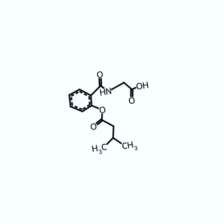 CC(C)CC(=O)Oc1ccccc1C(=O)NCC(=O)O